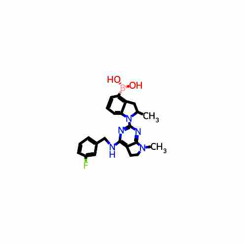 CC1Cc2c(B(O)O)cccc2N1c1nc(NCc2cccc(F)c2)c2c(n1)N(C)CC2